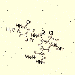 CCCc1cc(C)[nH]c(=O)c1CNC(=O)c1cc(/C(C=N)=C/NC)cc2c1c(Cl)cn2C(C)C